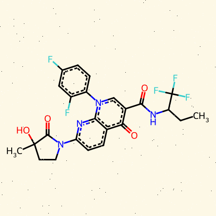 CCC(NC(=O)c1cn(-c2ccc(F)cc2F)c2nc(N3CCC(C)(O)C3=O)ccc2c1=O)C(F)(F)F